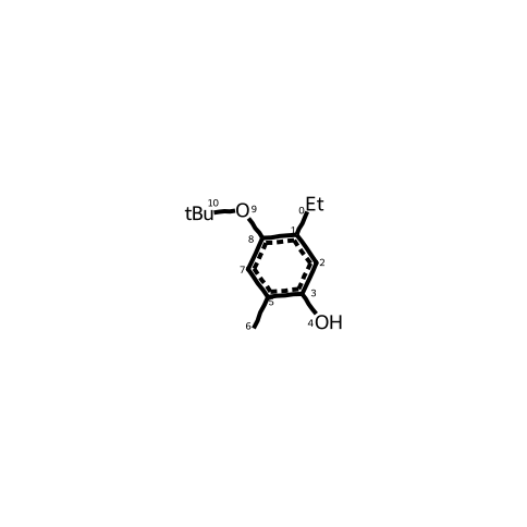 CCc1cc(O)c(C)cc1OC(C)(C)C